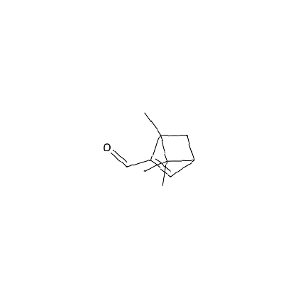 CC12CC(C=C1C=O)C2(C)C